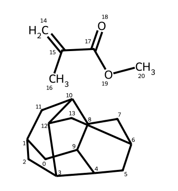 C1C2CC3C4CC5CC(C14)C(C2)C3C5.C=C(C)C(=O)OC